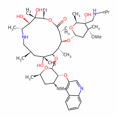 CCCNC[C@]1(O)[C@H](C)O[C@@H](O[C@H]2[C@H](C)[C@@H](O[C@@H]3O[C@H](C)C[C@H](NC)[C@H]3Oc3cnc4ccccc4c3)[C@](C)(O)C[C@@H](C)CN[C@H](C)[C@@H](O)[C@](C)(O)[C@@H](CC)OC(=O)[C@@H]2C)C[C@@]1(C)OC